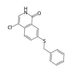 O=c1[nH]cc(Cl)c2ccc(SCc3ccccc3)cc12